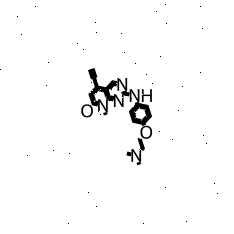 C#Cc1cc(=O)n(C)c2nc(Nc3ccc(OCCN(C)C)cc3)ncc12